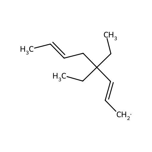 [CH2]C=CC(CC)(CC)CC=CC